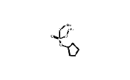 CCCCOP(=O)(OCCCC)OC1CCCC1